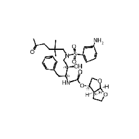 CC(=O)CCC(C)(C)CN(C[C@@H](O)[C@H](Cc1ccccc1)NC(=O)O[C@H]1CO[C@H]2OCC[C@H]21)S(=O)(=O)c1cccc(N)c1